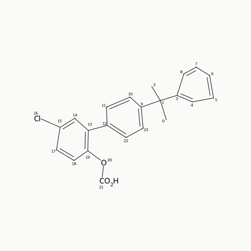 CC(C)(c1ccccc1)c1ccc(-c2cc(Cl)ccc2OC(=O)O)cc1